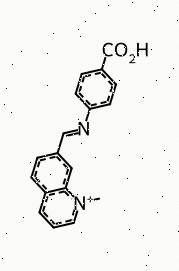 C[n+]1cccc2ccc(C=Nc3ccc(C(=O)O)cc3)cc21